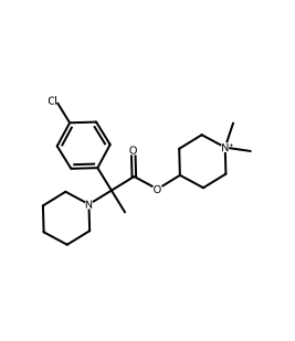 CC(C(=O)OC1CC[N+](C)(C)CC1)(c1ccc(Cl)cc1)N1CCCCC1